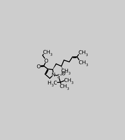 CCOC(=O)C1=CCN([S@+]([O-])C(C)(C)C)[C@@H]1C[C@@H](C)CCC=C(C)C